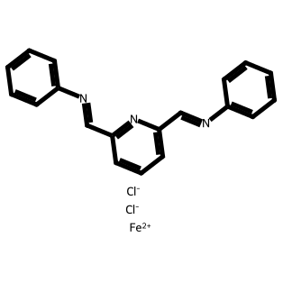 C(=Nc1ccccc1)c1cccc(C=Nc2ccccc2)n1.[Cl-].[Cl-].[Fe+2]